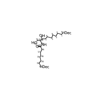 CCCCCCCCCCCCCCCCCC(O)C(CO)NC(=O)CCCCCCCCCCCCCCCC